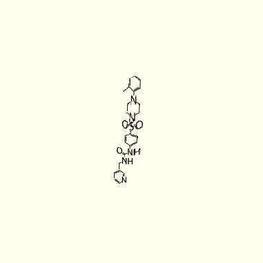 Cc1ccccc1N1CCN(S(=O)(=O)c2ccc(NC(=O)NCc3cccnc3)cc2)CC1